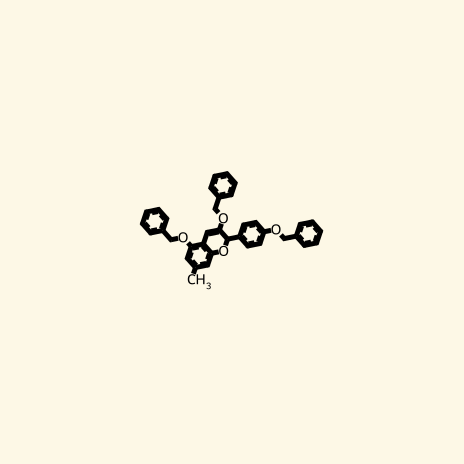 Cc1cc(OCc2ccccc2)c2c(c1)OC(c1ccc(OCc3ccccc3)cc1)C(OCc1ccccc1)=C2